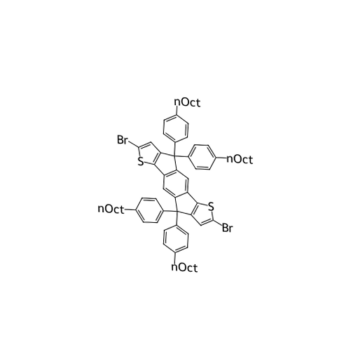 CCCCCCCCc1ccc(C2(c3ccc(CCCCCCCC)cc3)c3cc4c(cc3-c3sc(Br)cc32)C(c2ccc(CCCCCCCC)cc2)(c2ccc(CCCCCCCC)cc2)c2cc(Br)sc2-4)cc1